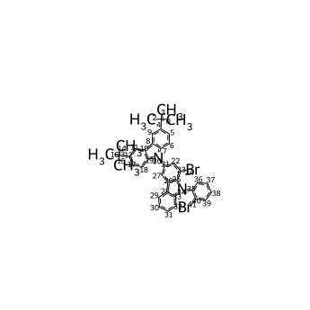 CC(C)(C)c1ccc2c(c1)c1cc(C(C)(C)C)ccc1n2-c1cc(Br)c2c(c1)c1ccccc1n2-c1ccccc1Br